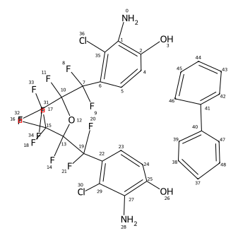 Nc1c(O)ccc(C(F)(F)C(F)(OC(F)(C(F)(F)F)C(F)(F)c2ccc(O)c(N)c2Cl)C(F)(F)F)c1Cl.c1ccc(-c2ccccc2)cc1